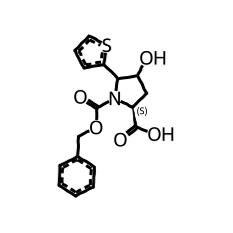 O=C(O)[C@@H]1CC(O)C(c2cccs2)N1C(=O)OCc1ccccc1